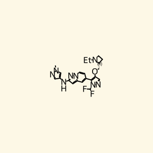 CCN1CC[C@@H]1COc1cnn(C(F)F)c1-c1ccn2nc(Nc3cnn(C)c3)cc2c1